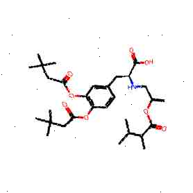 CC(CN[C@@H](Cc1ccc(OC(=O)CC(C)(C)C)c(OC(=O)CC(C)(C)C)c1)C(=O)O)OC(=O)C(C)C(C)C